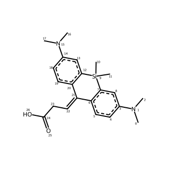 CN(C)c1ccc2c(c1)[Si](C)(C)c1cc(N(C)C)ccc1C2=CCC(=O)O